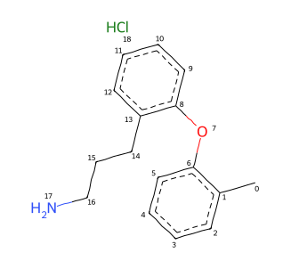 Cc1ccccc1Oc1ccccc1CCCN.Cl